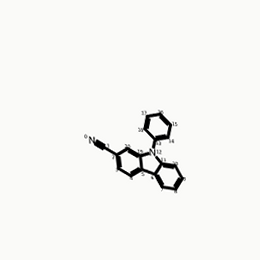 N#Cc1ccc2c3cc[c]cc3n(-c3ccccc3)c2c1